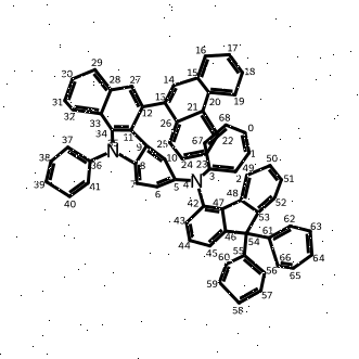 c1ccc(N(c2ccc3c(c2)c2c(-c4cc5ccccc5c5ccccc45)cc4ccccc4c2n3-c2ccccc2)c2cccc3c2-c2ccccc2C3(c2ccccc2)c2ccccc2)cc1